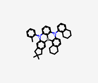 Cc1ccccc1N1c2cc3c(cc2B2c4c1cccc4N(c1cccc4c1CCCC4)c1ccc4c(c12)CCCC4)CC(C)(C)C3